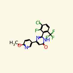 COc1ccc(-c2cc(=O)[nH]c(-c3c(C(F)(F)F)ccc(Cl)c3F)n2)cn1